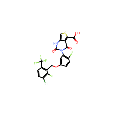 O=C(O)c1scc2[nH]c(=O)n(-c3cc(OCc4c(C(F)(F)F)ccc(Cl)c4F)ccc3F)c(=O)c12